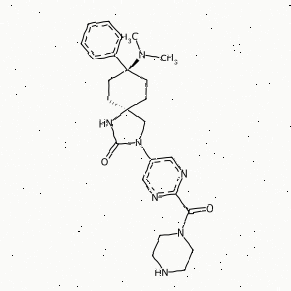 CN(C)[C@]1(c2ccccc2)CC[C@]2(CC1)CN(c1cnc(C(=O)N3CCNCC3)nc1)C(=O)N2